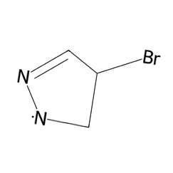 BrC1C=N[N]C1